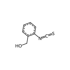 OCc1ccccc1N=C=S